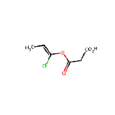 CC=C(Cl)OC(=O)CC(=O)O